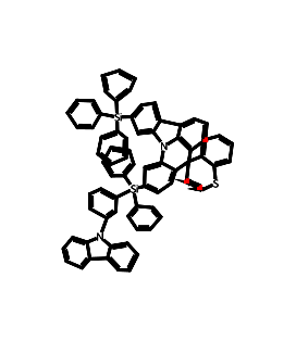 c1ccc([Si](c2ccccc2)(c2cccc(-n3c4ccccc4c4ccccc43)c2)c2ccc3c(c2)-n2c4cc([Si](c5ccccc5)(c5ccccc5)c5ccccc5)ccc4c4cccc(c42)C32c3ccccc3Sc3ccccc32)cc1